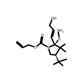 C=CCOC(=O)N1C[C@H](C(C)(C)C)C(C)(C)[C@]1(C=CCO)O[SiH3]